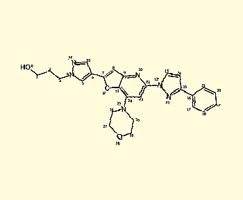 OCCCn1cc(-c2cc3nc(-n4ccc(-c5ccccc5)n4)cc(N4CCOCC4)c3o2)cn1